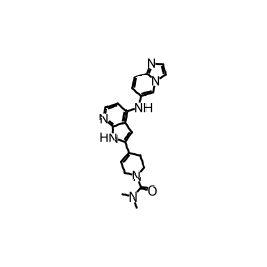 CN(C)C(=O)N1CC=C(c2cc3c(Nc4ccc5nccn5c4)ccnc3[nH]2)CC1